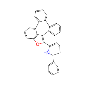 C1=CC(c2ccccc2)NC(c2oc3cccc4c3c2-c2ccccc2-c2ccccc2-4)=C1